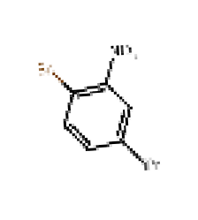 CC(C)c1ccc(Br)c([N+](=O)[O-])c1